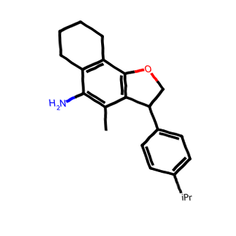 Cc1c(N)c2c(c3c1C(c1ccc(C(C)C)cc1)CO3)CCCC2